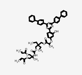 C=CC(=O)OCC(C)(COC(=O)C=C)NC(=O)OCC(CC)(CC)COC(=O)C(C)Oc1ccc(-c2nc(-c3ccc(-c4ccccc4)cc3)nc(-c3ccc(-c4ccccc4)cc3)n2)c(O)c1